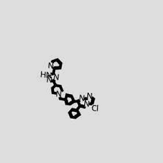 Clc1cnc2nc(-c3ccc(CN4CCC(c5n[nH]c(-c6ccccn6)n5)CC4)cc3)c(-c3ccccc3)cn12